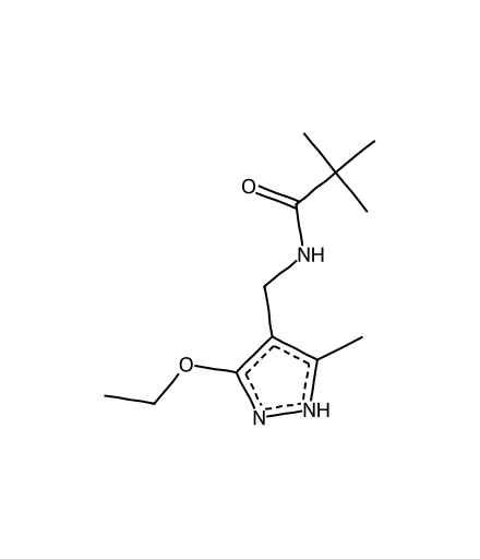 CCOc1n[nH]c(C)c1CNC(=O)C(C)(C)C